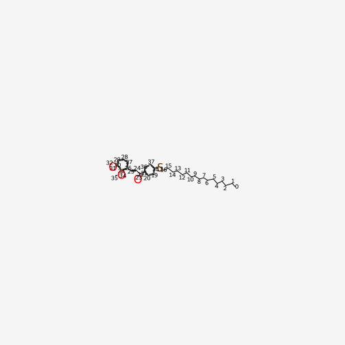 CCCCCCCCCCCCCCCCCSc1ccc(C(=O)/C=C/c2cccc(OC)c2OC)cc1